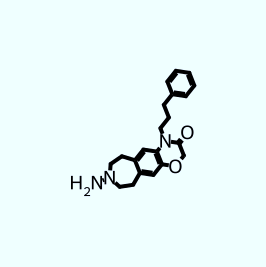 NN1CCc2cc3c(cc2CC1)N(CCCc1ccccc1)C(=O)CO3